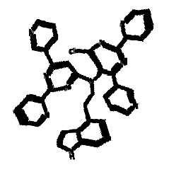 Clc1nc(-c2ccccn2)nc(-c2cccnc2)c1N(CCc1cccc2[nH]ccc12)c1cc(-c2cccnc2)nc(-c2ccccn2)n1